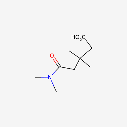 CN(C)C(=O)CC(C)(C)CC(=O)O